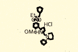 CCN(Cc1ccccc1)S(=O)(=O)c1ccc(OC)c(-c2ccc(CN3CCCCC[C@@H]3c3ccccc3)[nH]2)c1.Cl